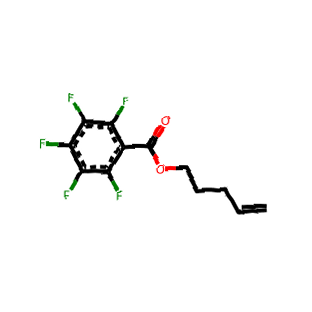 C=CCCCOC(=O)c1c(F)c(F)c(F)c(F)c1F